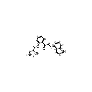 NCC(O)COc1ccccc1C(=O)CCc1cccc2[nH]ccc12